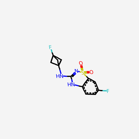 O=S1(=O)N=C(NC23CC(F)(C2)C3)Nc2ccc(F)cc21